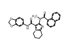 CN(C(=O)c1cccc2ccccc12)c1nc2n(c1C(=O)Nc1ccc3c(c1)OCO3)CCCC2